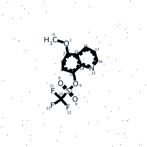 COc1ccc(OS(=O)(=O)C(F)(F)F)c2ncccc12